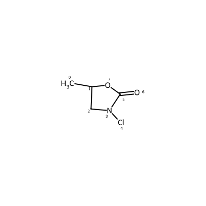 CC1CN(Cl)C(=O)O1